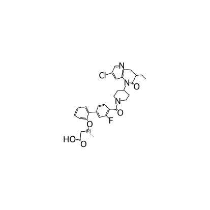 CCC1Cc2ncc(Cl)cc2N(C2CCN(C(=O)c3ccc(-c4ccccc4O[C@H](C)CC(=O)O)cc3F)CC2)C1=O